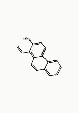 C=Cc1c(CCCC)ccc2c1ccc1ccccc12